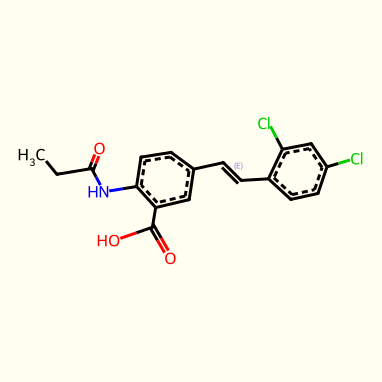 CCC(=O)Nc1ccc(/C=C/c2ccc(Cl)cc2Cl)cc1C(=O)O